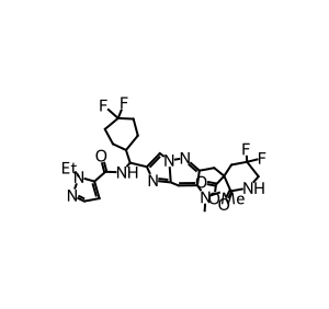 CCn1nccc1C(=O)NC(c1cn2nc(CC3(C(=O)OC)CC(F)(F)CNC3=O)c(N(C)C)cc2n1)C1CCC(F)(F)CC1